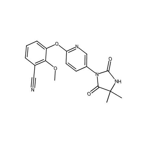 COc1c(C#N)cccc1Oc1ccc(N2C(=O)NC(C)(C)C2=O)cn1